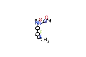 Cc1ccc2ccc(-c3ccc(C4=NC5(CC5)C(=O)N4CC4CN(C(=O)C5CC5)C4)cc3)c(F)c2n1